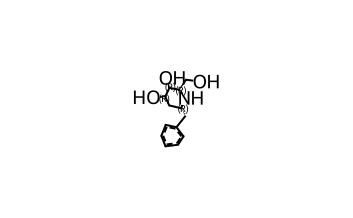 OC[C@H]1N[C@H](Cc2ccccc2)C[C@@H](O)[C@@H]1O